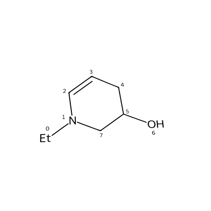 CCN1C=CCC(O)C1